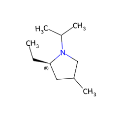 CC[C@@H]1CC(C)CN1C(C)C